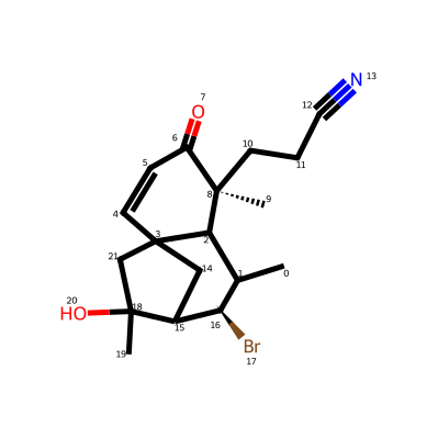 CC1C2C3(C=CC(=O)[C@@]2(C)CCC#N)CC([C@@H]1Br)C(C)(O)C3